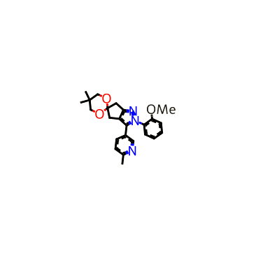 COc1ccccc1-n1nc2c(c1-c1ccc(C)nc1)CC1(C2)OCC(C)(C)CO1